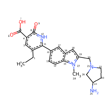 CCc1cc(C(=O)O)c(=O)[nH]c1-c1ccc2c(c1)cc(CN1CCC(N)C1)n2C